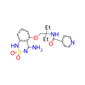 CCC(CC)(COc1cccc2c1C(N)=NS(=O)(=O)N2)NC(=O)c1ccncc1